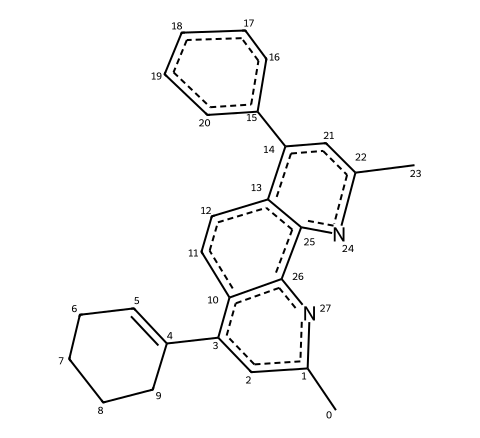 Cc1cc(C2=CCCCC2)c2ccc3c(-c4ccccc4)cc(C)nc3c2n1